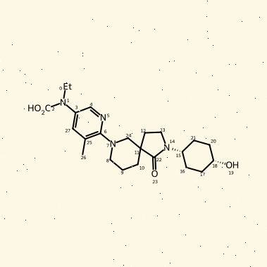 CCN(C(=O)O)c1cnc(N2CCCC3(CCN([C@H]4CC[C@@H](O)CC4)C3=O)C2)c(C)c1